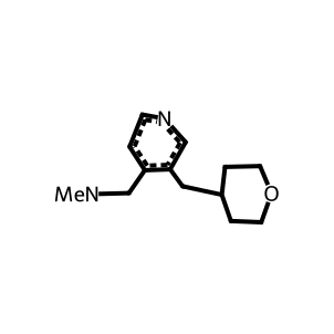 CNCc1ccncc1CC1CCOCC1